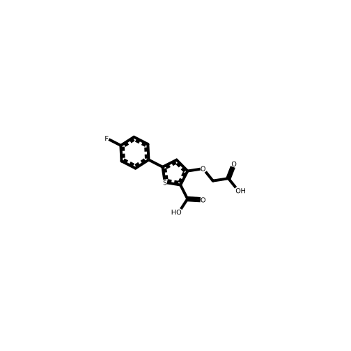 O=C(O)COc1cc(-c2ccc(F)cc2)sc1C(=O)O